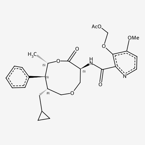 COc1ccnc(C(=O)N[C@H]2COC[C@H](CC3CC3)[C@@H](c3ccccc3)[C@H](C)OC2=O)c1OCOC(C)=O